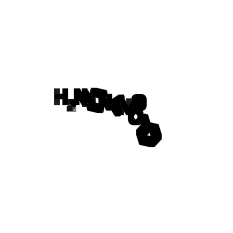 NN1CCN(C2CN(C(=O)OCc3ccccc3)C2)CC1